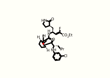 CCOC(=O)/C(F)=C/[C@H](C[C@H]1CCNC1=O)NC(=O)[C@@H]1[C@@H]2CC[C@@H](CC2(F)F)N1C(=O)[C@H](CC(C)C)Nc1cccc(Cl)c1